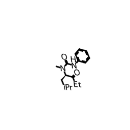 CCC(=O)[C@@H](CC(C)C)N(C)C(=O)Nc1ccccc1